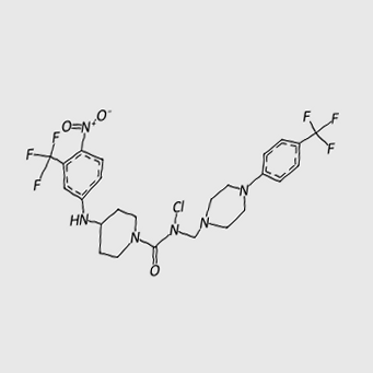 O=C(N(Cl)CN1CCN(c2ccc(C(F)(F)F)cc2)CC1)N1CCC(Nc2ccc([N+](=O)[O-])c(C(F)(F)F)c2)CC1